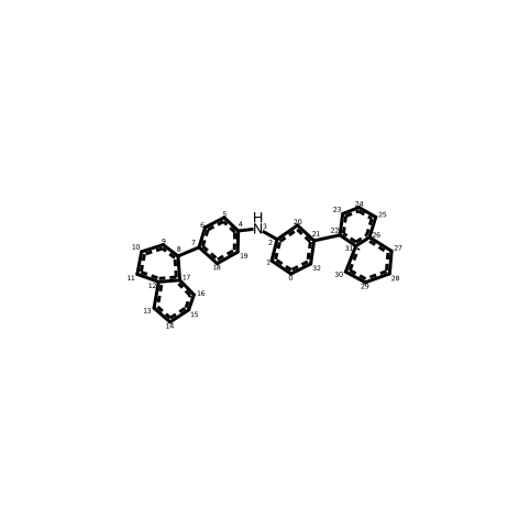 c1cc(Nc2ccc(-c3cccc4ccccc34)cc2)cc(-c2cccc3ccccc23)c1